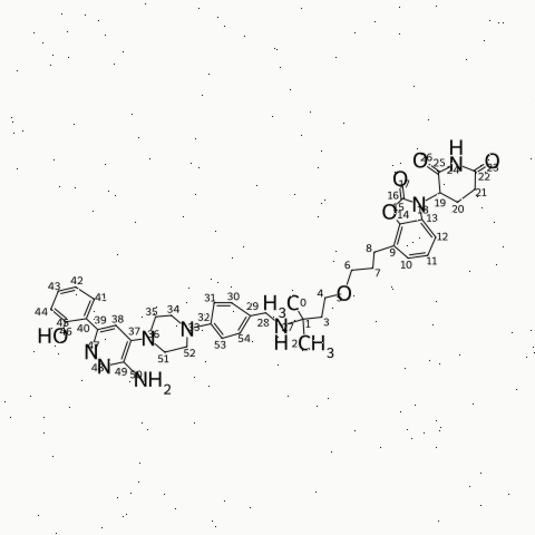 CC(C)(CCOCCCc1cccc2c1oc(=O)n2C1CCC(=O)NC1=O)NCc1ccc(N2CCN(c3cc(-c4ccccc4O)nnc3N)CC2)cc1